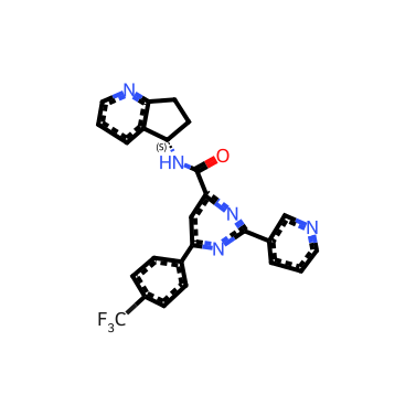 O=C(N[C@H]1CCc2ncccc21)c1cc(-c2ccc(C(F)(F)F)cc2)nc(-c2cccnc2)n1